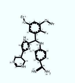 CCOc1cc(OC(C)C)c(F)c(C(Nc2ccc(C(=N)N)cc2)c2nc(C3CN=CNC3)c[nH]2)c1